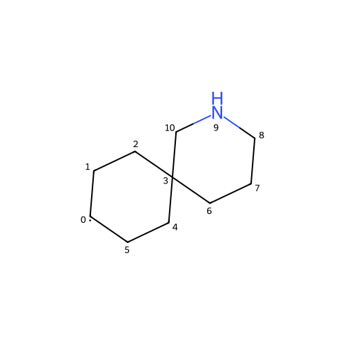 [CH]1CCC2(CC1)CCCNC2